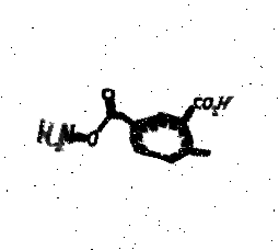 Cc1ccc(C(=O)ON)cc1C(=O)O